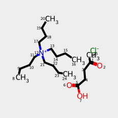 CC(=O)CCC(=O)O.CCCC[N+](CCCC)(CCCC)CCCC.[Cl-]